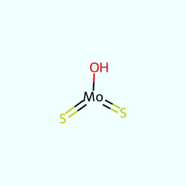 [OH][Mo](=[S])=[S]